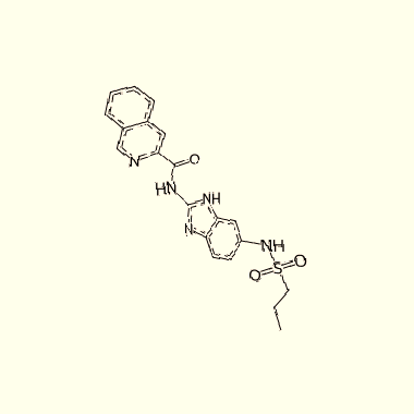 CCCS(=O)(=O)Nc1ccc2nc(NC(=O)c3cc4ccccc4cn3)[nH]c2c1